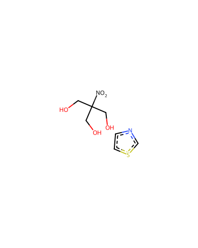 O=[N+]([O-])C(CO)(CO)CO.c1cscn1